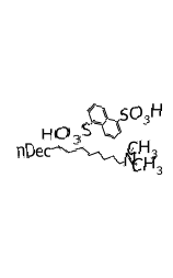 CCCCCCCCCCCCCCCCCCN(C)C.O=S(=O)(O)c1cccc2c(S(=O)(=O)O)cccc12